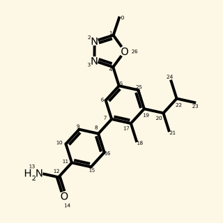 Cc1nnc(-c2cc(-c3ccc(C(N)=O)cc3)c(C)c(C(C)C(C)C)c2)o1